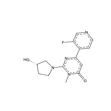 Cn1c(N2CC[C@H](O)C2)nc(-c2ccncc2F)cc1=O